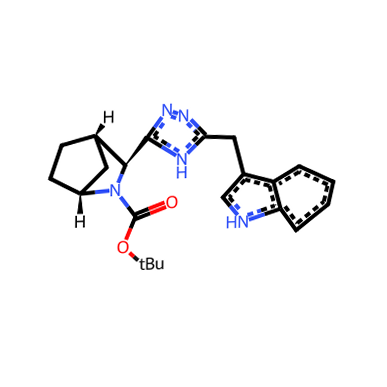 CC(C)(C)OC(=O)N1[C@@H]2CC[C@@H](C2)[C@H]1c1nnc(Cc2c[nH]c3ccccc23)[nH]1